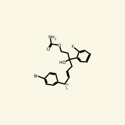 C[C@@H](C=CCC(O)(CCOC(N)=O)c1ccccc1F)c1ccc(Br)cc1